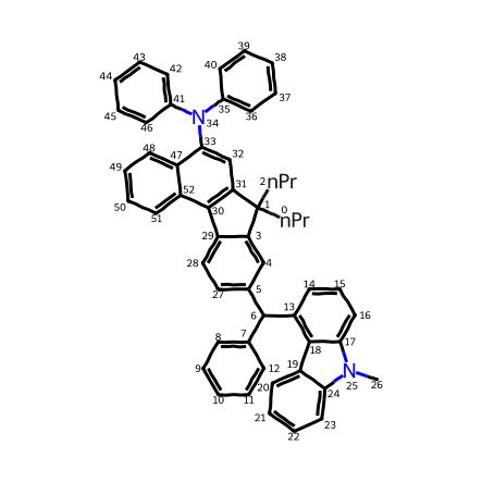 CCCC1(CCC)c2cc(C(c3ccccc3)c3cccc4c3c3ccccc3n4C)ccc2-c2c1cc(N(c1ccccc1)c1ccccc1)c1ccccc21